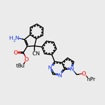 CCCOCn1ccc2c(-c3cccc(C4(C#N)C(C(=O)OC(C)(C)C)=C(N)c5ccccc54)c3)ncnc21